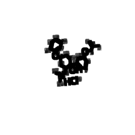 C=C(C)COc1cccc(C2(O)CCC(Oc3ccccc3)CC2CN(C)C)c1.Cl